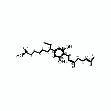 CCC(CCCCCC(=O)O)c1cc(O)c(CC=C(C)CCC=C(C)C)c(O)c1